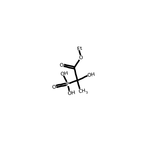 CCOC(=O)C(C)(O)P(=O)(O)O